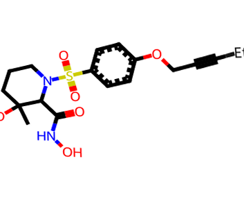 CCC#CCOc1ccc(S(=O)(=O)N2CCCC(C)(O)C2C(=O)NO)cc1